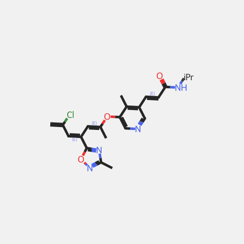 C=C(Cl)/C=C(\C=C(/C)Oc1cncc(/C=C/C(=O)NC(C)C)c1C)c1nc(C)no1